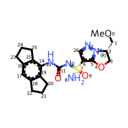 COC[C@@H]1COc2c(S(N)(=O)=NC(=O)Nc3c4c(cc5c3CCC5)CCC4)cnn21